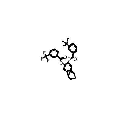 O=C(Oc1cc2c(cc1OC(=O)c1cccc(C(F)(F)F)c1)C1CCC2C1)c1cccc(C(F)(F)F)c1